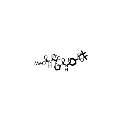 COC(=O)N[C@H](C(=O)N1CCC[C@H]1C(=O)Nc1ccc(B2OC(C)(C)C(C)(C)O2)cn1)C(C)C